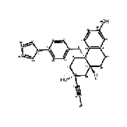 CC#C[C@@]1(O)CC[C@@]2(Cc3ccc(-n4cnnc4)cc3)c3ccc(O)cc3CC[C@@H]2C1